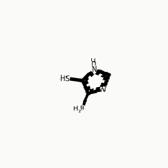 Bc1nc[nH]c1S